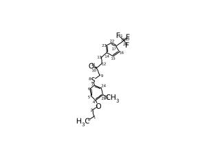 CCCOc1ccc(SCC(=O)CCc2ccc(C(F)(F)F)cc2)cc1C